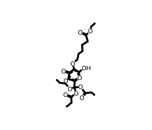 CCOC(=O)CCCCCOc1c(O)oc(C(OC(=O)CC)(OC(=O)CC)OC(=O)CC)cc1=O